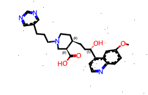 COc1ccc2nccc([C@@H](O)CC[C@@H]3CCN(CCCc4cncnc4)C[C@@H]3C(=O)O)c2c1